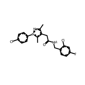 Cc1nn(-c2ccc(Cl)cc2)c(C)c1CC(=O)NCc1ccc(F)cc1Cl